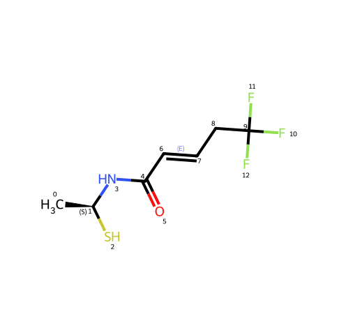 C[C@H](S)NC(=O)/C=C/CC(F)(F)F